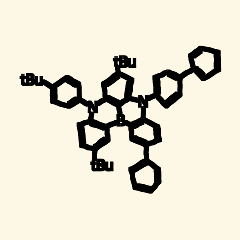 CC(C)(C)c1ccc(N2c3ccc(C(C)(C)C)cc3B3c4cc(-c5ccccc5)ccc4N(c4ccc(-c5ccccc5)cc4)c4cc(C(C)(C)C)cc2c43)cc1